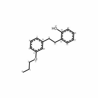 CCCOc1cccc(CCc2ccccc2O)c1